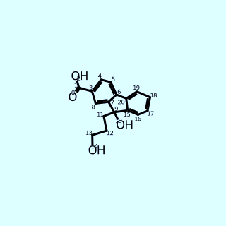 O=C(O)c1ccc2c(c1)C(O)(CCCO)c1ccccc1-2